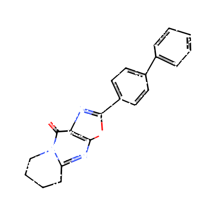 O=c1c2nc(-c3ccc(-c4ccccc4)cc3)oc2nc2n1CCCC2